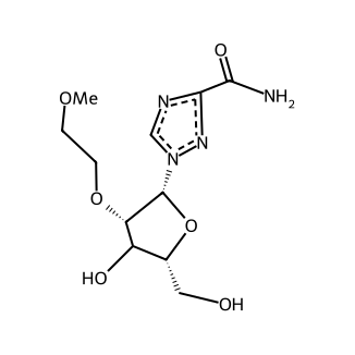 COCCO[C@H]1C(O)[C@@H](CO)O[C@H]1n1cnc(C(N)=O)n1